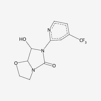 O=C1N2CCOC2C(O)N1c1cc(C(F)(F)F)ccn1